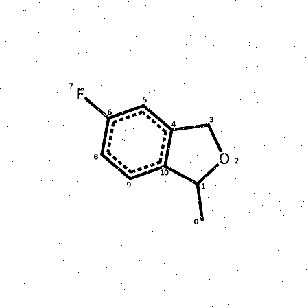 CC1OCc2cc(F)ccc21